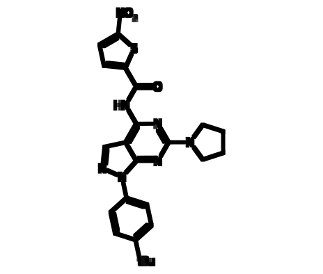 CC(C)(C)c1ccc(-n2ncc3c(NC(=O)c4ccc([N+](=O)[O-])s4)nc(N4CCCC4)nc32)cc1